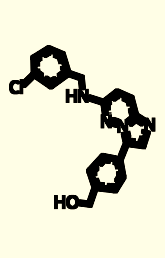 OCc1ccc(-c2cnc3ccc(NCc4cccc(Cl)c4)nn23)cc1